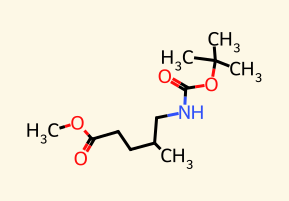 COC(=O)CCC(C)CNC(=O)OC(C)(C)C